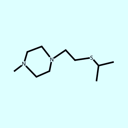 CC(C)SCCN1CCN(C)CC1